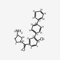 NC1CCN(C(=O)c2ccc(Cl)c(-c3ccc(-c4ccccc4)cc3)c2)C1